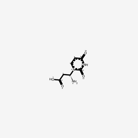 N[C@H](CC(=O)O)n1ccc(=O)[nH]c1=O